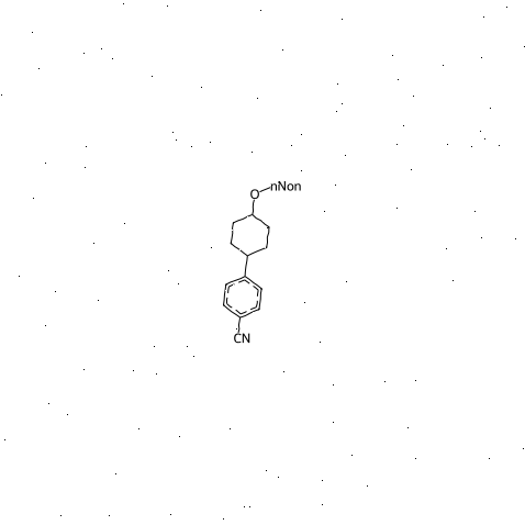 CCCCCCCCCOC1CCC(c2ccc(C#N)cc2)CC1